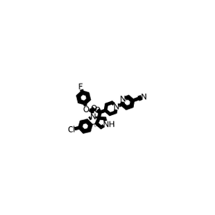 CN(C(=O)Oc1ccc(F)cc1)[C@@]1(C(=O)C2CCN(c3ccc(C#N)cn3)CC2)CNC[C@@H]1c1ccc(Cl)cc1